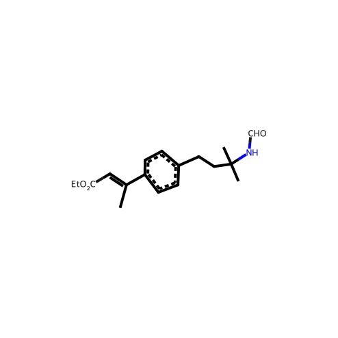 CCOC(=O)/C=C(\C)c1ccc(CCC(C)(C)NC=O)cc1